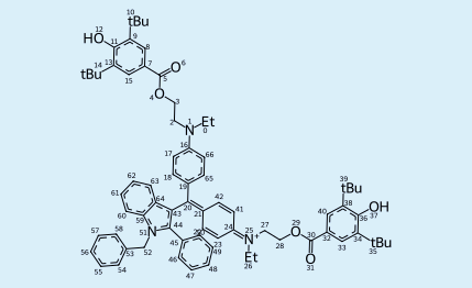 CCN(CCOC(=O)c1cc(C(C)(C)C)c(O)c(C(C)(C)C)c1)c1ccc(C(=C2C=CC(=[N+](CC)CCOC(=O)c3cc(C(C)(C)C)c(O)c(C(C)(C)C)c3)C=C2)c2c(-c3ccccc3)n(Cc3ccccc3)c3ccccc23)cc1